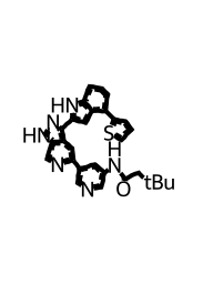 CC(C)(C)CC(=O)Nc1cncc(-c2cc3c(-c4cc5c(-c6cccs6)cccc5[nH]4)n[nH]c3cn2)c1